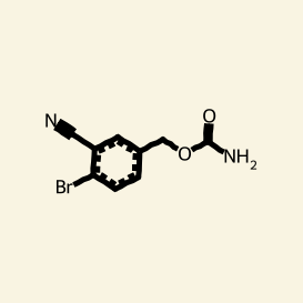 N#Cc1cc(COC(N)=O)ccc1Br